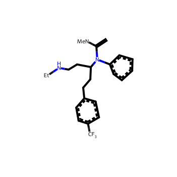 C=C(NC)N(c1ccccc1)C(CCNCC)CCc1ccc(C(F)(F)F)cc1